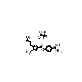 Cc1cc(C(=O)Oc2ccc(C(=N)N)cc2)sc1CCC(=O)O.O=C(O)C(F)(F)F